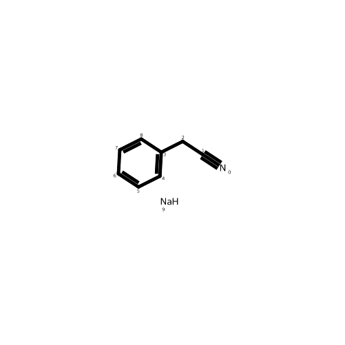 N#CCc1ccccc1.[NaH]